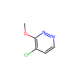 COc1nn[c]cc1Cl